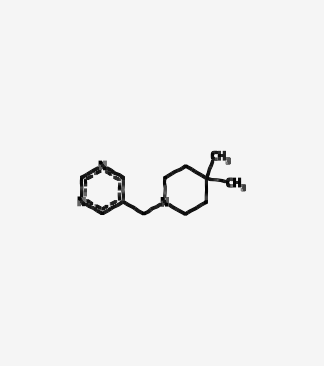 CC1(C)CCN(Cc2cncnc2)CC1